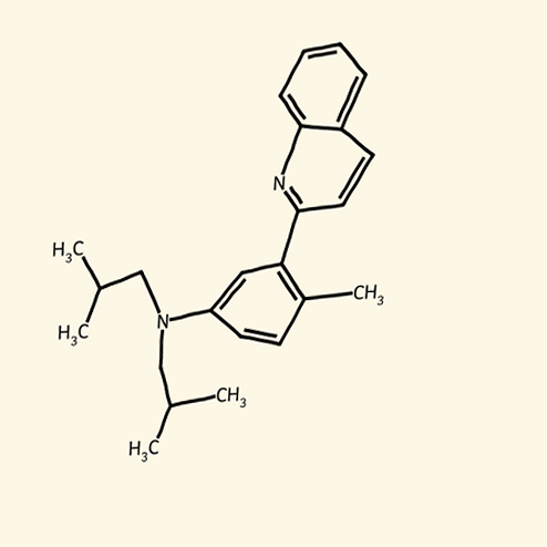 Cc1ccc(N(CC(C)C)CC(C)C)cc1-c1ccc2ccccc2n1